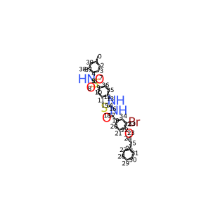 Cc1ccc(NS(=O)(=O)c2ccc(NC(=S)NC(=O)c3ccc(OCCc4ccccc4)c(Br)c3)cc2)c(C)c1